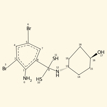 Nc1c(Br)cc(Br)cc1C(S)(S)N[C@H]1CC[C@H](O)CC1